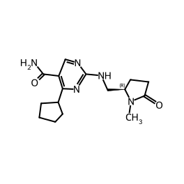 CN1C(=O)CC[C@@H]1CNc1ncc(C(N)=O)c(C2CCCC2)n1